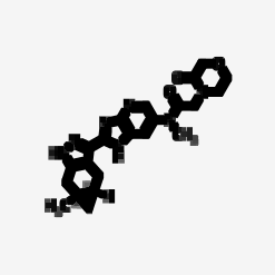 CN(C(=O)CN1CCOCC1=O)c1cnc2nc(-c3n[nH]c4c3C[C@@H]3C[C@]3(C)C4)[nH]c2c1